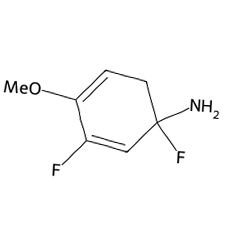 COC1=CCC(N)(F)C=C1F